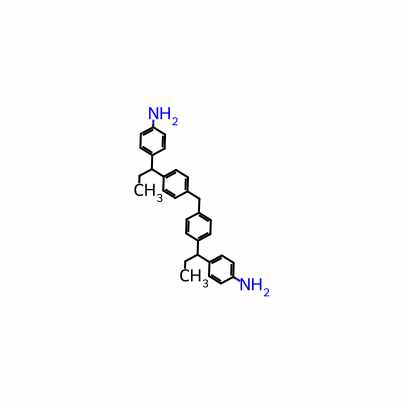 CCC(c1ccc(N)cc1)c1ccc(Cc2ccc(C(CC)c3ccc(N)cc3)cc2)cc1